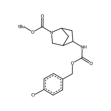 CC(C)(C)OC(=O)N1CC2CC1CC2NC(=O)OCc1ccc(Cl)cc1